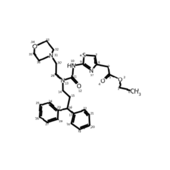 CCOC(=O)Cc1csc(NC(=O)N(CCC(c2ccccc2)c2ccccc2)CCN2CCOCC2)n1